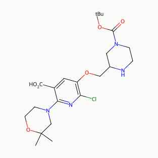 CC(C)(C)OC(=O)N1CCNC(COc2cc(C(=O)O)c(N3CCOC(C)(C)C3)nc2Cl)C1